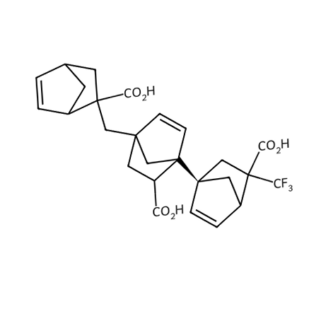 O=C(O)C1CC2(CC3(C(=O)O)CC4C=CC3C4)C=CC1([C@]13C=CC(C1)C(C(=O)O)(C(F)(F)F)C3)C2